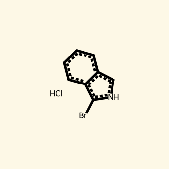 Brc1[nH]cc2ccccc12.Cl